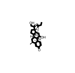 CCC(=O)O[C@]1(C(=O)CO)CC[C@H]2[C@@H]3C[C@H](C)C4=CC(=O)C=C[C@]4(C)[C@H]3C(O)C[C@@]21C